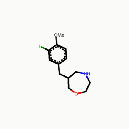 COc1ccc(CC2CNCCOC2)cc1F